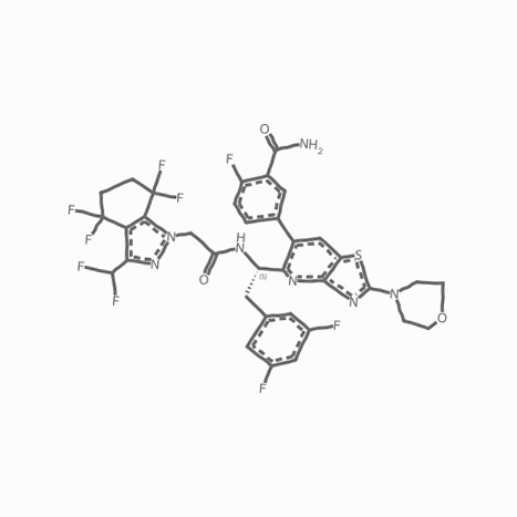 NC(=O)c1cc(-c2cc3sc(N4CCOCC4)nc3nc2[C@H](Cc2cc(F)cc(F)c2)NC(=O)Cn2nc(C(F)F)c3c2C(F)(F)CCC3(F)F)ccc1F